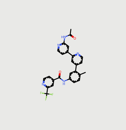 CC(=O)Nc1cc(-c2cc(-c3cc(NC(=O)c4ccnc(C(F)(F)F)c4)ccc3C)ccn2)ccn1